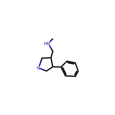 CNCC1C[N]CC1c1ccccc1